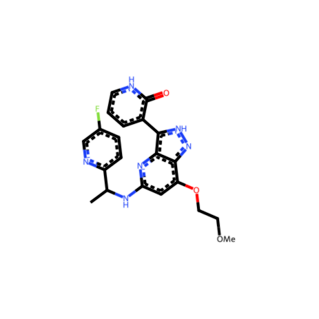 COCCOc1cc(NC(C)c2ccc(F)cn2)nc2c(-c3ccc[nH]c3=O)[nH]nc12